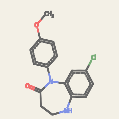 COc1ccc(N2C(=O)CCNc3ccc(Cl)cc32)cc1